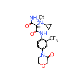 CCN(C1CC1)[C@H](C(N)=O)C(=O)Nc1ccc(N2CCOCC2=O)cc1C(F)(F)F